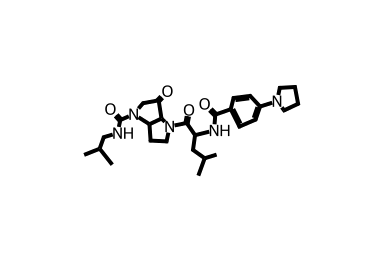 CC(C)CNC(=O)N1CC(=O)C2C1CCN2C(=O)C(CC(C)C)NC(=O)c1ccc(N2CCCC2)cc1